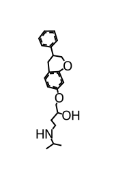 CC(C)NCCC(O)COc1ccc2c(c1)OCC(c1ccccc1)C2